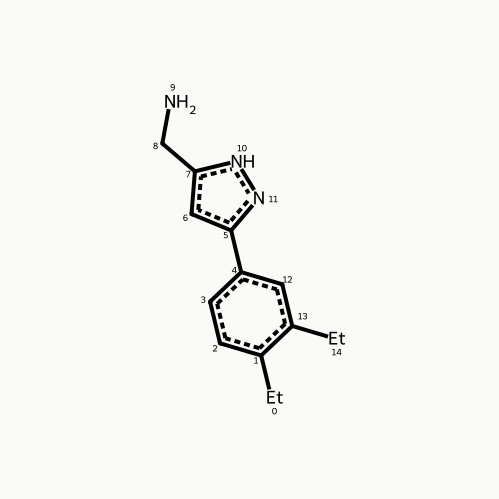 CCc1ccc(-c2cc(CN)[nH]n2)cc1CC